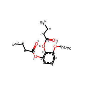 CCCCCCCCCCOc1cccc(OC(=O)CCC(C)C)c1OC(=O)CCC(C)C